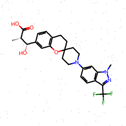 C[C@H](C(=O)O)[C@@H](O)c1ccc2c(c1)OC1(CC2)CCN(c2ccc3c(C(F)(F)F)nn(C)c3c2)CC1